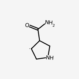 NC(=O)C1[CH]CNC1